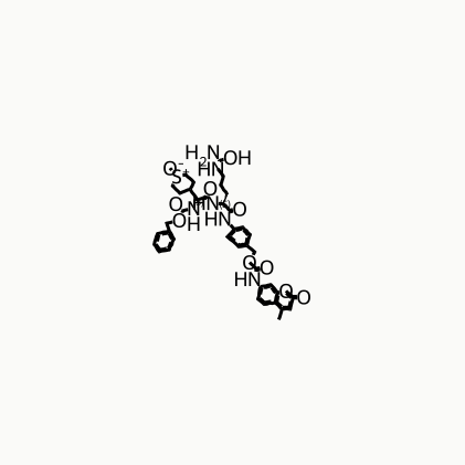 Cc1cc(=O)oc2cc(NC(=O)OCc3ccc(NC(=O)[C@H](CCCNC(N)O)NC(=O)[C@@H](NC(=O)OCc4ccccc4)C4CC[S+]([O-])CC4)cc3)ccc12